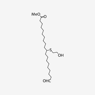 COC(=O)CCCCCCCCCC(CCCCCCCCC=O)SCCO